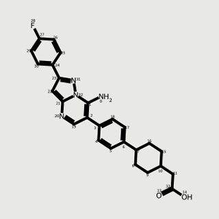 Nc1c(-c2ccc(C3CCC(CC(=O)O)CC3)cc2)cnc2cc(-c3ccc(F)cc3)nn12